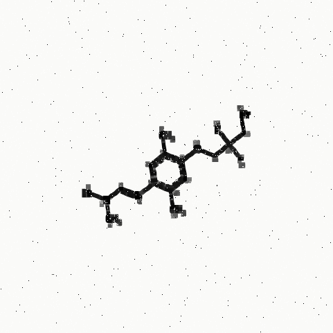 CCN(C)/C=N/c1cc(C)c(OCC(F)(F)CC(C)C)cc1C